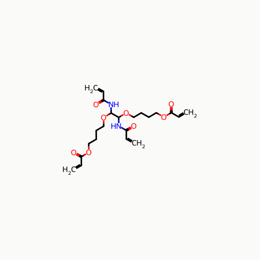 C=CC(=O)NC(OCCCCOC(=O)C=C)C(NC(=O)C=C)OCCCCOC(=O)C=C